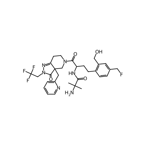 CC(C)(N)C(=O)NC(CCc1ccc(CF)cc1CO)C(=O)N1CCC2=NN(CC(F)(F)F)C(=O)C2(Cc2ccccn2)C1